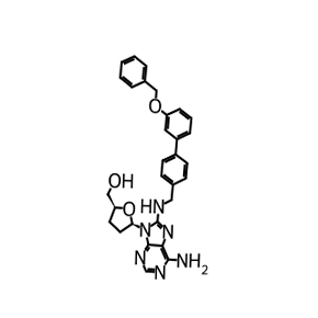 Nc1ncnc2c1nc(NCc1ccc(-c3cccc(OCc4ccccc4)c3)cc1)n2[C@H]1CC[C@@H](CO)O1